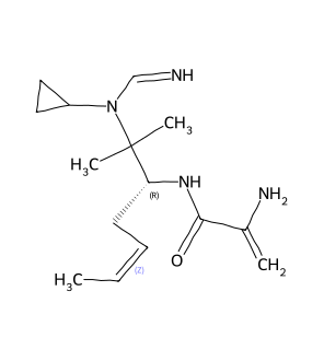 C=C(N)C(=O)N[C@H](C/C=C\C)C(C)(C)N(C=N)C1CC1